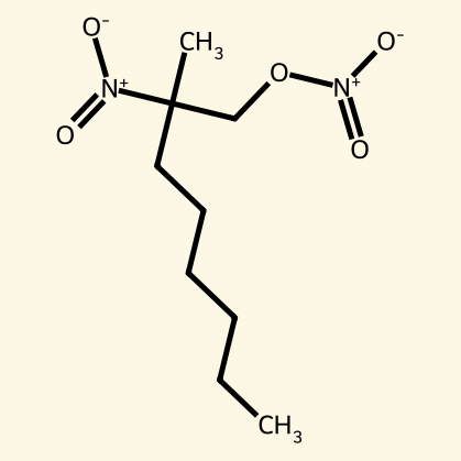 CCCCCCC(C)(CO[N+](=O)[O-])[N+](=O)[O-]